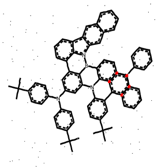 CC(C)(C)c1ccc(N(c2ccc(C(C)(C)C)cc2)c2cc3c4c(c2)N(c2ccc(C(C)(C)C)cc2-c2ccccc2)c2cc(N(c5ccccc5)c5ccccc5)ccc2B4n2c4cc5ccccc5cc4c4cccc-3c42)cc1